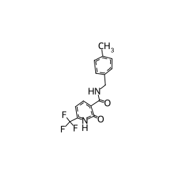 Cc1ccc(CNC(=O)c2ccc(C(F)(F)F)[nH]c2=O)cc1